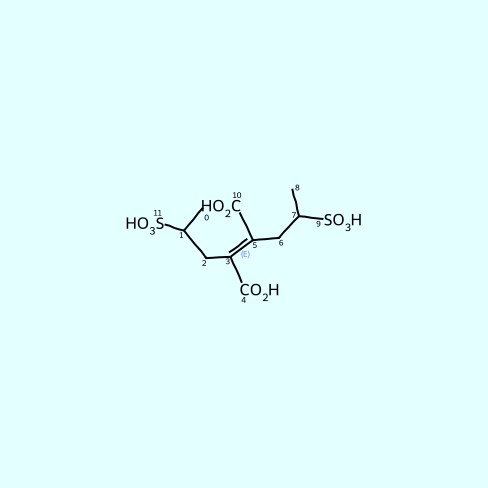 CC(C/C(C(=O)O)=C(/CC(C)S(=O)(=O)O)C(=O)O)S(=O)(=O)O